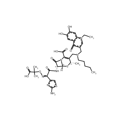 CCCCCN(CC1=C(C(=O)O)N2C(=O)[C@@H](NC(=O)/C(=N\OC(C)(C)C(=O)O)c3csc(N)n3)[C@H]2S[C@H]1C)Cc1cn(CC)c2cc(O)c(O)cc2c1=O